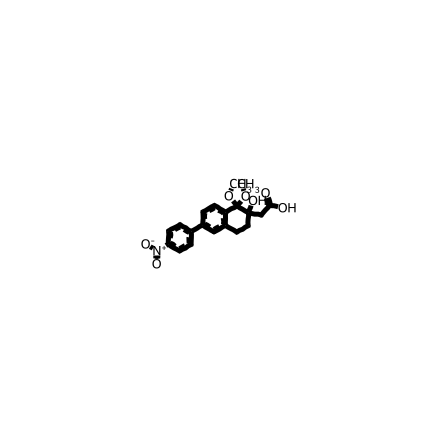 COC1(OC)c2ccc(-c3ccc([N+](=O)[O-])cc3)cc2CCC1(O)CC(=O)O